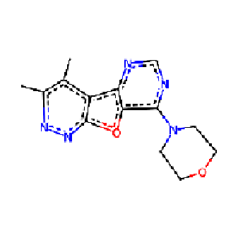 Cc1nnc2oc3c(N4CCOCC4)ncnc3c2c1C